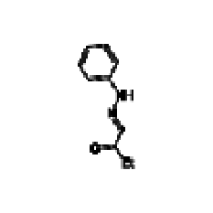 CCC(=O)/C=N/Nc1ccccc1